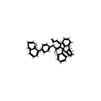 C=C/C=C\C1=C(Cc2ccc(-c3cccc4cccnc34)cc2)Oc2ccccc2C12c1ccccc1-c1ccccc12